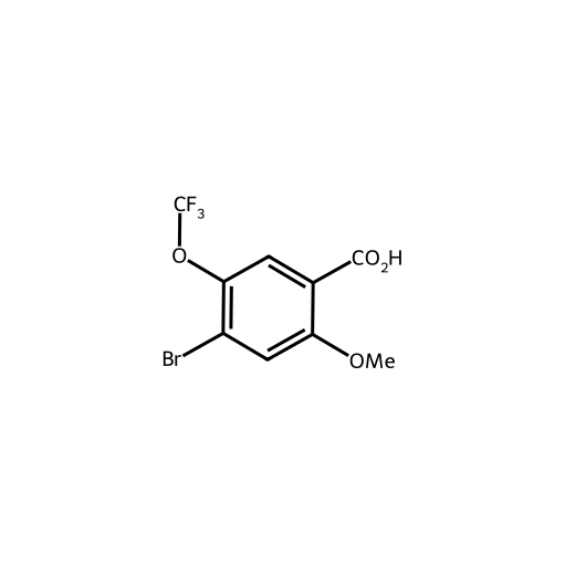 COc1cc(Br)c(OC(F)(F)F)cc1C(=O)O